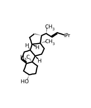 CC(C)/C=C/[C@@H](C)[C@H]1CC[C@H]2[C@@H]3CC=C4C[C@@H](O)CC[C@]4(C)[C@H]3CC[C@]12C